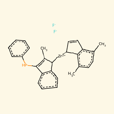 CC1=C(Pc2ccccc2)c2ccccc2[CH]1[Zr+2][CH]1C=Cc2c(C)ccc(C)c21.[F-].[F-]